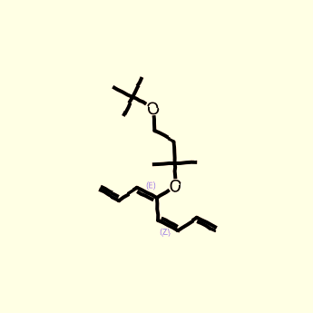 C=C/C=C\C(=C/C=C)OC(C)(C)CCOC(C)(C)C